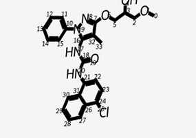 COCC(O)COc1nn(-c2ccccc2)c(NC(=O)Nc2ccc(Cl)c3ccccc23)c1C